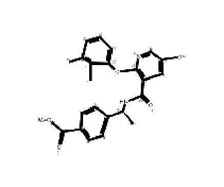 COC(=O)c1ccc([C@H](C)NC(=O)c2cc(Cl)cnc2Oc2cccc(C)c2C)cc1